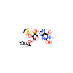 CC(C)(C)[Si](C)(C)OC[C@H]1O[C@@H](n2cnc3c(=O)[nH]c(O)nc32)[C@H](O)[C@@H]1O[P]1(S)SCCS1